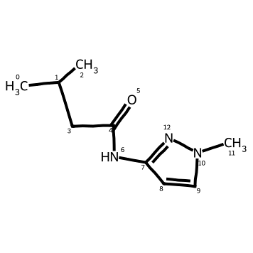 CC(C)CC(=O)Nc1ccn(C)n1